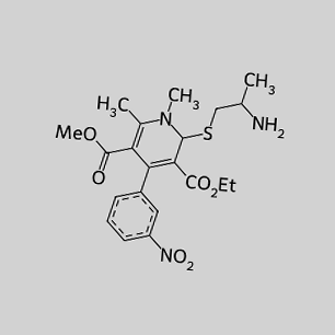 CCOC(=O)C1=C(c2cccc([N+](=O)[O-])c2)C(C(=O)OC)=C(C)N(C)C1SCC(C)N